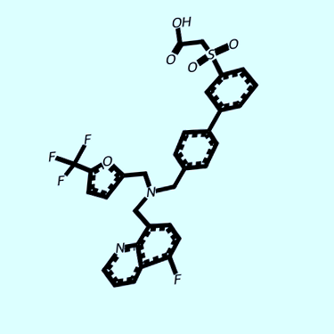 O=C(O)CS(=O)(=O)c1cccc(-c2ccc(CN(Cc3ccc(C(F)(F)F)o3)Cc3ccc(F)c4cccnc34)cc2)c1